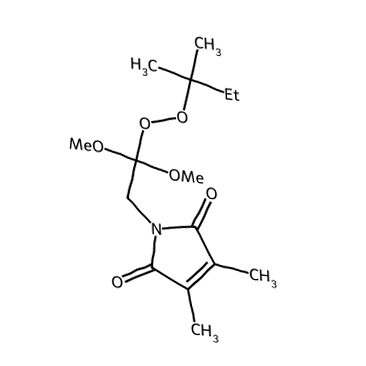 CCC(C)(C)OOC(CN1C(=O)C(C)=C(C)C1=O)(OC)OC